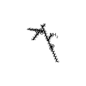 CCCCCCCCCCCOC(=O)CCCCCN(CCCN)CCCCCCC(CCC(C)CC)C(=O)OC(COCCCCCC)COCCCCCC